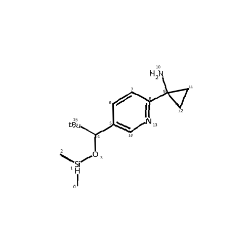 C[SiH](C)OC(c1ccc(C2(N)CC2)nc1)C(C)(C)C